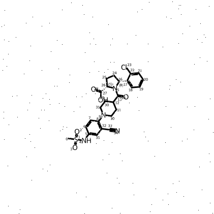 CS(=O)(=O)Nc1ccc(N2CCC(C(=O)N3[C@@H](c4ccccc4Cl)CC[C@H]3C(=O)O)CC2)c(C#N)c1